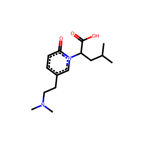 CC(C)CC(C(=O)O)n1cc(CCN(C)C)ccc1=O